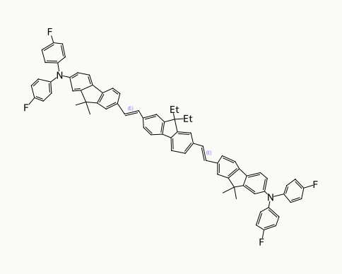 CCC1(CC)c2cc(/C=C/c3ccc4c(c3)C(C)(C)c3cc(N(c5ccc(F)cc5)c5ccc(F)cc5)ccc3-4)ccc2-c2ccc(/C=C/c3ccc4c(c3)C(C)(C)c3cc(N(c5ccc(F)cc5)c5ccc(F)cc5)ccc3-4)cc21